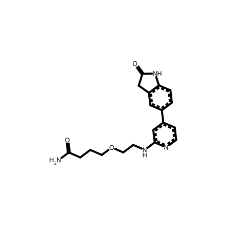 NC(=O)CCCOCCNc1cc(-c2ccc3c(c2)CC(=O)N3)ccn1